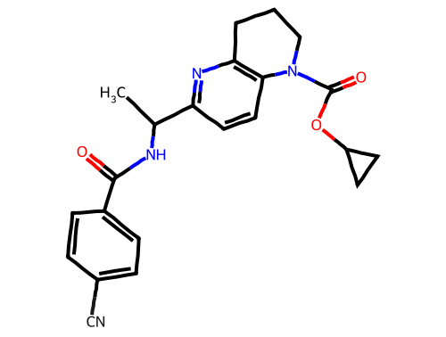 CC(NC(=O)c1ccc(C#N)cc1)c1ccc2c(n1)CCCN2C(=O)OC1CC1